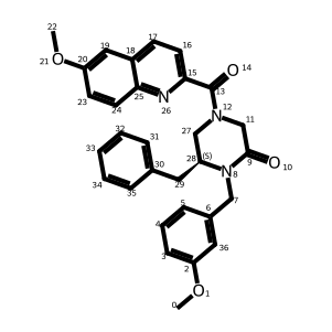 COc1cccc(CN2C(=O)CN(C(=O)c3ccc4cc(OC)ccc4n3)C[C@@H]2Cc2ccccc2)c1